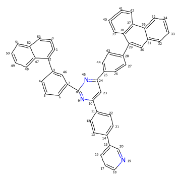 C1=C=C(c2cccc(-c3nc(-c4ccc(-c5cccnc5)cc4)cc(-c4ccc(-c5cc6ccccc6c6c5C=C=C=C6)cc4)n3)c2)c2ccccc2C=1